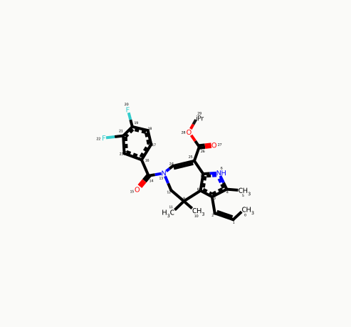 C/C=C\c1c(C)[nH]c2c1C(C)(C)CN(C(=O)c1ccc(F)c(F)c1)C=C2C(=O)OC(C)C